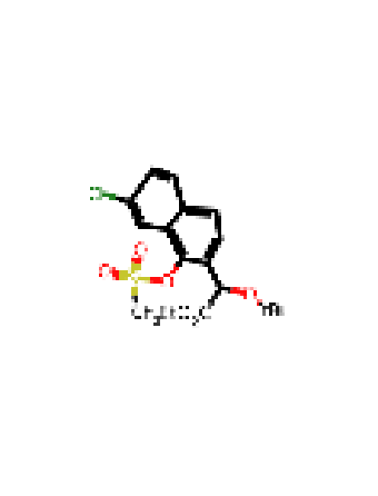 CCOC(=O)C(OC(C)(C)C)c1ccc2ccc(Cl)cc2c1OS(=O)(=O)C(F)(F)F